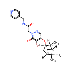 C[C@@H]1[C@H]2C[C@@H](C[C@H]1Oc1cnn(CC(=O)NCc3ccncc3)c(=O)c1Br)C2(C)C